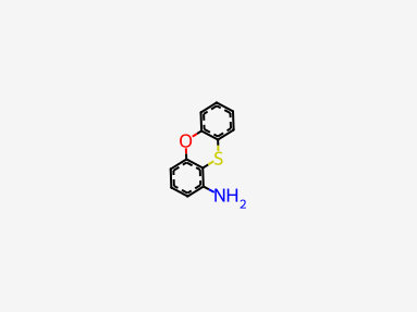 Nc1cccc2c1Sc1ccccc1O2